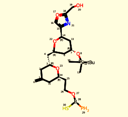 C=C1C[C@H](C[C@@H]2C[C@@H](O[Si](C)(C)C(C)(C)C)C[C@H](c3coc(CO)n3)O2)O[C@@H](CCOB(P)S)C1